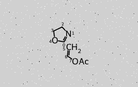 C1=NCCO1.C=COC(C)=O